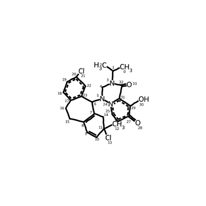 CC(C)N1CN(C2C3=C(C=CC(C)(Cl)C3)CCc3ccc(Cl)cc32)n2ccc(=O)c(O)c2C1=O